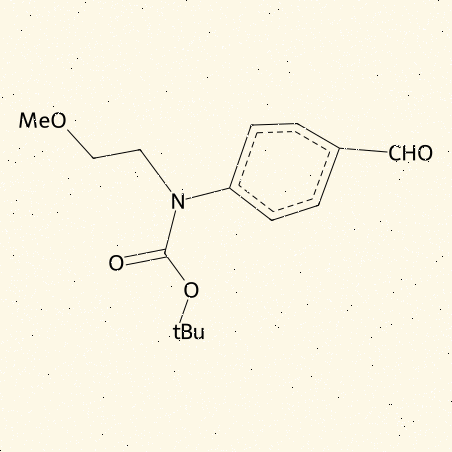 COCCN(C(=O)OC(C)(C)C)c1ccc(C=O)cc1